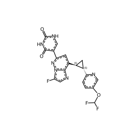 O=c1[nH]cc(-c2cc([C@H]3C[C@@H]3c3ccc(OC(F)F)cn3)c3ncc(F)n3n2)c(=O)[nH]1